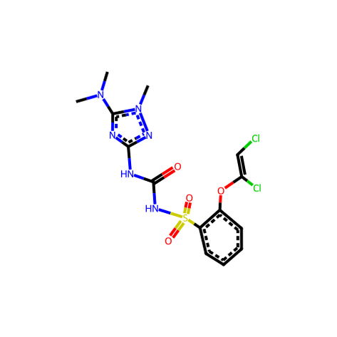 CN(C)c1nc(NC(=O)NS(=O)(=O)c2ccccc2OC(Cl)=CCl)nn1C